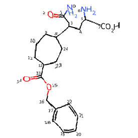 NC(=O)C(CC(N)C(=O)O)C1CCCC(C(=O)OCc2ccccc2)CC1